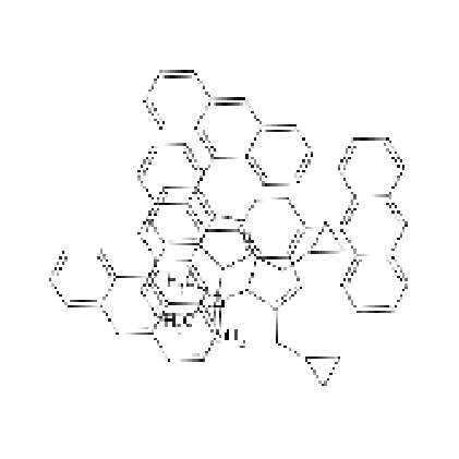 [CH3][Zr]([CH3])(=[SiH2])([CH]1C(CC2CC2)=Cc2c(-c3c4ccccc4cc4ccccc34)ccc(-c3c4ccccc4cc4ccccc34)c21)[CH]1C(CC2CC2)=Cc2c(-c3c4ccccc4cc4ccccc34)ccc(-c3c4ccccc4cc4ccccc34)c21